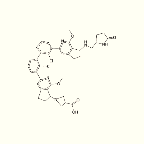 COc1nc(-c2cccc(-c3cccc(-c4cc5c(c(OC)n4)C(N4CC(C(=O)O)C4)CC5)c3Cl)c2Cl)cc2c1C(NCC1CCC(=O)N1)CC2